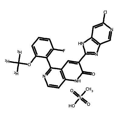 CS(=O)(=O)O.[2H]C([2H])([2H])Oc1cccc(F)c1-c1nccc2[nH]c(=O)c(-c3nc4cnc(Cl)cc4[nH]3)cc12